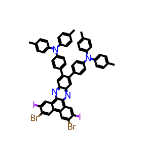 Cc1ccc(N(c2ccc(C)cc2)c2ccc(-c3cc4nc5c6cc(I)c(Br)cc6c6cc(Br)c(I)cc6c5nc4cc3-c3ccc(N(c4ccc(C)cc4)c4ccc(C)cc4)cc3)cc2)cc1